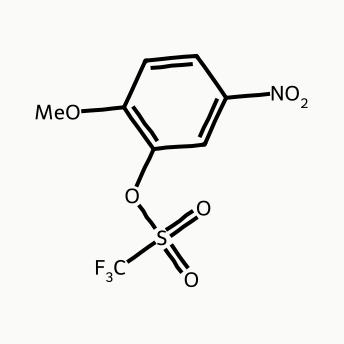 COc1ccc([N+](=O)[O-])cc1OS(=O)(=O)C(F)(F)F